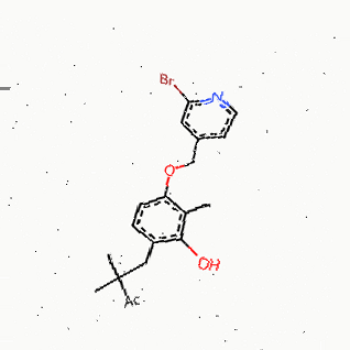 CC(=O)C(C)(C)Cc1ccc(OCc2ccnc(Br)c2)c(C)c1O